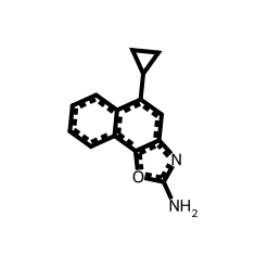 Nc1nc2cc(C3CC3)c3ccccc3c2o1